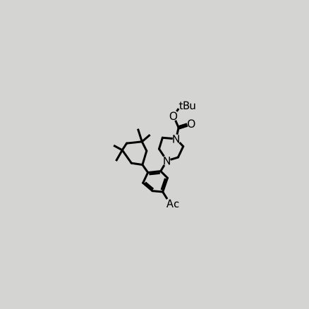 CC(=O)c1ccc(C2CC(C)(C)CC(C)(C)C2)c(N2CCN(C(=O)OC(C)(C)C)CC2)c1